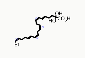 CC/C=C\CCC=C/C=C\C/C=C\C/C=C\C=CCCC(O)(O)C(=O)O